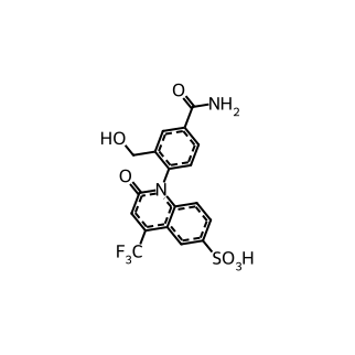 NC(=O)c1ccc(-n2c(=O)cc(C(F)(F)F)c3cc(S(=O)(=O)O)ccc32)c(CO)c1